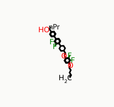 C=CCCCOc1ccc(OCC2CCC(c3ccc(-c4ccc(C(O)CCC)cc4)c(F)c3F)CC2)c(F)c1F